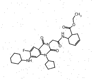 CCOC(=O)C1CC=CCC1NC(=O)Cn1c(=O)c2cc(F)c(NC3CCCCC3)cc2n(C2CCCC2)c1=O